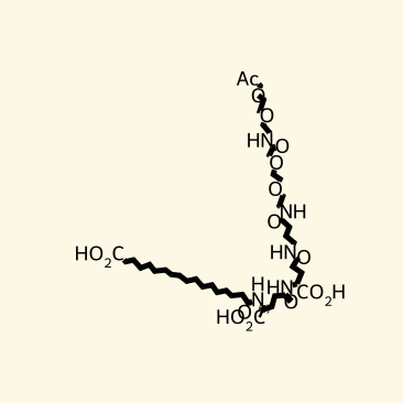 CC(=O)COCCOCCNC(=O)COCCOCCNC(=O)CCCNC(=O)CCC(NC(=O)CC[C@H](NC(=O)CCCCCCCCCCCCCCCCC(=O)O)C(=O)O)C(=O)O